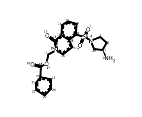 N[C@@H]1CCN(S(=O)(=O)c2cccc3c(=O)n(COC(=O)c4ccccc4)ccc23)C1